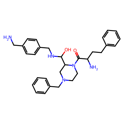 NCc1ccc(CNC(O)C2CN(Cc3ccccc3)CCN2C(=O)C(N)CCc2ccccc2)cc1